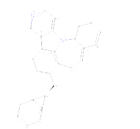 C[C@@]12CC=CC[C@]1(C)[C@@H]2CC1CCC2C3=C1CC=C1C=CCCC1N3C1=CC=NCC12